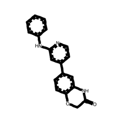 O=C1COc2ccc(-c3ccnc(Nc4ccccc4)c3)cc2N1